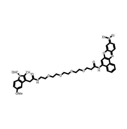 CC[N+](CC)=c1ccc2nc3c(cc(NC(=O)CCOCCOCCOCCOCCNC(=O)Cc4c(C)n(C=O)c5ccc(OC)cc45)c4ccccc43)oc-2c1